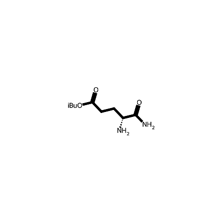 CC(C)COC(=O)CC[C@@H](N)C(N)=O